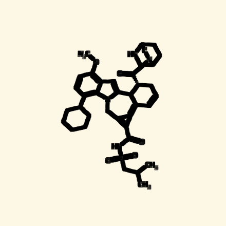 COc1ccc(C2CCCCC2)c2c1cc1n2CC2=C(C(=O)NS(=O)(=O)CC(C)C)C2=C2C=CC[C@@H](C(=O)N3CC4CCC3CN4)C21